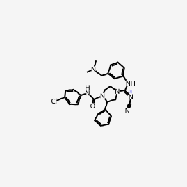 CN(C)Cc1cccc(N/C(=N/C#N)N2CCN(C(=O)Nc3ccc(Cl)cc3)C(c3ccccc3)C2)c1